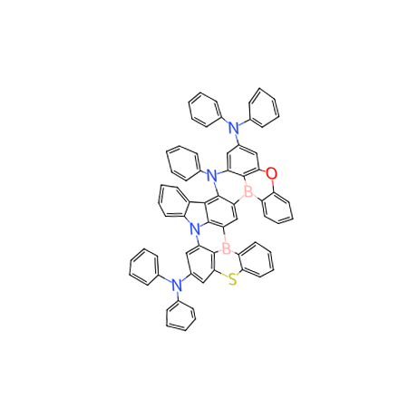 c1ccc(N(c2ccccc2)c2cc3c4c(c2)N(c2ccccc2)c2c(cc5c6c2c2ccccc2n6-c2cc(N(c6ccccc6)c6ccccc6)cc6c2B5c2ccccc2S6)B4c2ccccc2O3)cc1